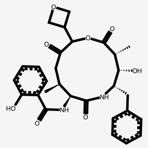 C[C@H]1CC(=O)C(C2COC2)OC(=O)[C@H](C)[C@H](O)[C@H](Cc2ccccc2)NC(=O)[C@H]1NC(=O)c1ccccc1O